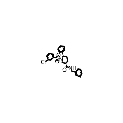 O=C(NCc1ccccc1)[C@@H]1CC[C@H](c2ccccc2)N(S(=O)(=O)c2cccc(Cl)c2)C1